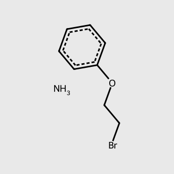 BrCCOc1ccccc1.N